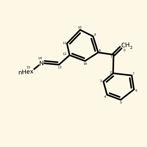 C=C(c1ccccc1)c1cccc(C=NCCCCCC)c1